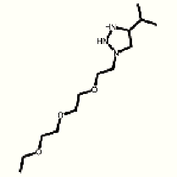 CCOCCOCCOCCN1CC(C(C)C)NN1